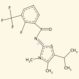 Cc1c(C(C)C)s/c(=N\C(=O)c2cccc(C(F)(F)F)c2F)n1C